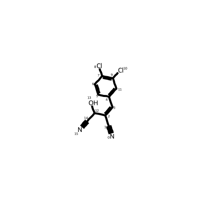 N#CC(=Cc1ccc(Cl)c(Cl)c1)C(O)C#N